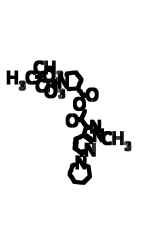 Cn1nc(C(=O)COC(=O)C2CCCN(C(=O)OC(C)(C)C)C2)c2ccc(N3CCCCCC3)nc21